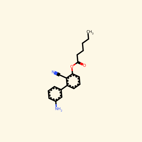 CCCCCC(=O)Oc1cccc(-c2cccc(N)c2)c1C#N